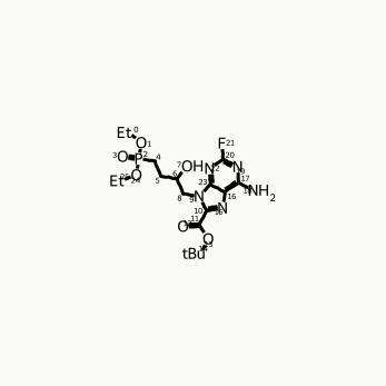 CCOP(=O)(CCC(O)Cn1c(C(=O)OC(C)(C)C)nc2c(N)nc(F)nc21)OCC